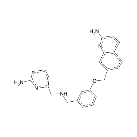 Nc1cccc(CNCc2cccc(OCc3ccc4ccc(N)nc4c3)c2)n1